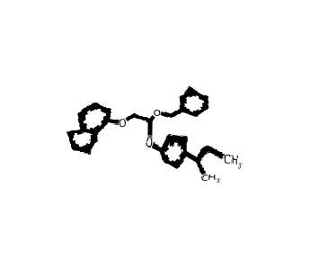 CCC(C)c1ccc(OC(COc2cccc3ccccc23)OCc2ccccc2)cc1